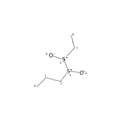 CCC[S+]([O-])[S+]([O-])CC